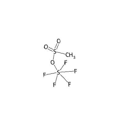 CS(=O)(=O)OS(F)(F)(F)(F)F